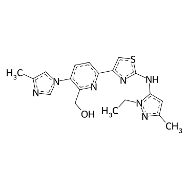 CCn1nc(C)cc1Nc1nc(-c2ccc(-n3cnc(C)c3)c(CO)n2)cs1